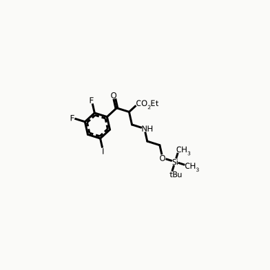 CCOC(=O)C(CNCCO[Si](C)(C)C(C)(C)C)C(=O)c1cc(I)cc(F)c1F